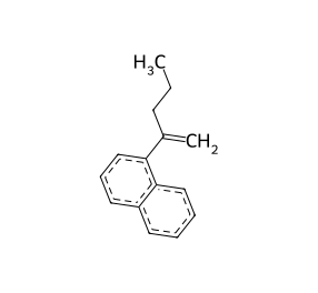 C=C(CCC)c1cccc2ccccc12